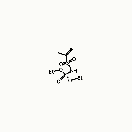 C=C(C)S(=O)(=O)NP(=O)(OCC)OCC